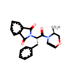 O=C(O)[C@H]1COC=CN1C(=O)[C@H](Cc1ccccc1)N1C(=O)c2ccccc2C1=O